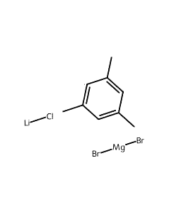 Cc1[c]c(C)cc(C)c1.[Br][Mg][Br].[Li][Cl]